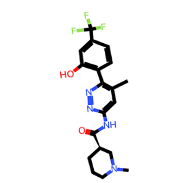 Cc1cc(NC(=O)[C@@H]2CCCN(C)C2)nnc1-c1ccc(C(F)(F)F)cc1O